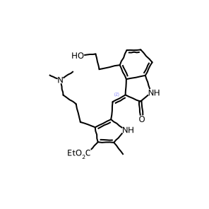 CCOC(=O)c1c(C)[nH]c(/C=C2\C(=O)Nc3cccc(CCO)c32)c1CCCN(C)C